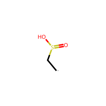 [CH2]CS(=O)O